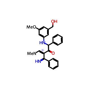 CN/C=C(\C(=N)c1ccccc1)C(=O)C(Nc1cc(CO)cc(OC)c1)c1ccccc1